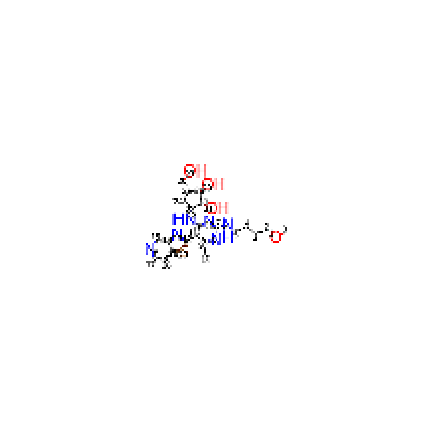 COCCCCNc1nc(C)c(-c2nc3cnccc3s2)c(N[C@@H]2C[C@H](CO)[C@@H](O)[C@H]2O)n1